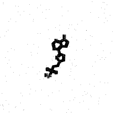 CS(=O)(=O)CCn1ccc(-c2ncnc3[nH]ccc23)n1